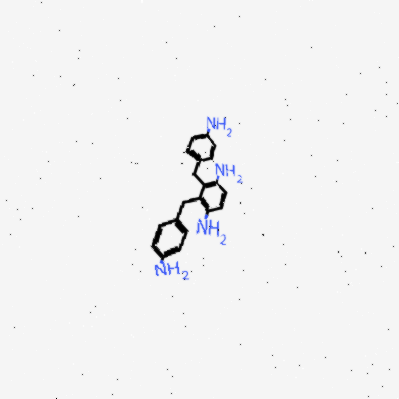 Nc1ccc(Cc2c(N)ccc(N)c2Cc2ccc(N)cc2)cc1